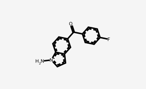 Nn1ccc2cc(C(=O)c3ccc(F)cc3)ccc21